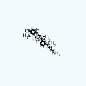 C/C(=N\OCCN)c1cccc(C(C)(C)NC(=O)Nc2ccc(Cl)c(C)c2)c1